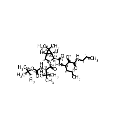 CCCNC(=O)C(=O)C(CCC)NC(=O)[C@@H]1[C@@H]2[C@H](CN1C(=O)[C@@H](NC(=O)OC(C)(C)C)C(C)(C)C)C2(C)C